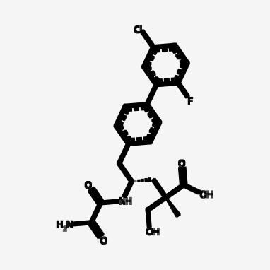 C[C@@](CO)(C[C@@H](Cc1ccc(-c2cc(Cl)ccc2F)cc1)NC(=O)C(N)=O)C(=O)O